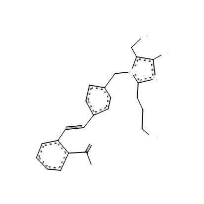 CCCCc1nc(Cl)c(CO)n1Cc1ccc(/C=C/c2ccccc2C(=O)O)cc1